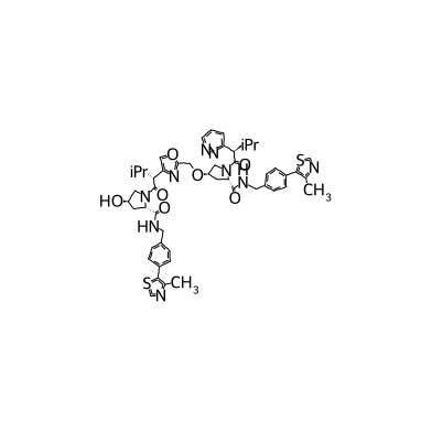 Cc1ncsc1-c1ccc(CNC(=O)[C@@H]2C[C@@H](OCc3nc([C@H](C(=O)N4C[C@H](O)C[C@H]4C(=O)NCc4ccc(-c5scnc5C)cc4)C(C)C)co3)CN2C(=O)[C@@H](c2cccnn2)C(C)C)cc1